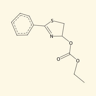 CCOC(=O)OC1CSC(c2ccccc2)=N1